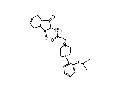 CC(C)Oc1ccccc1N1CCN(CC(=O)NC2C(=O)C3CC=CCC3C2=O)CC1